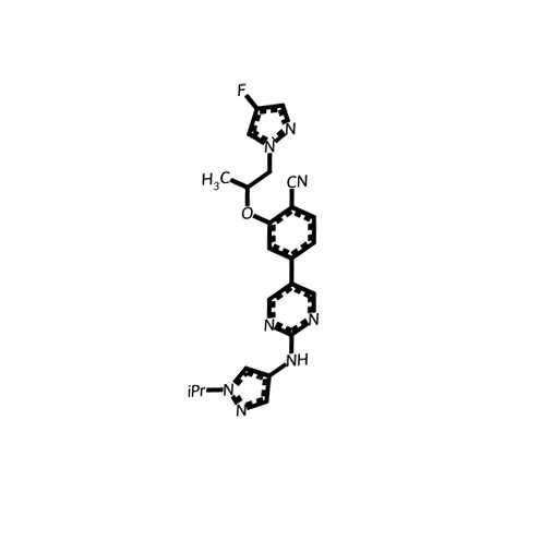 CC(Cn1cc(F)cn1)Oc1cc(-c2cnc(Nc3cnn(C(C)C)c3)nc2)ccc1C#N